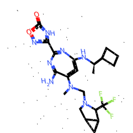 C[C@@H](NC1=C=C(N(C)CN2CC3CC3C2C(F)(F)F)C(N)=NC(c2noc(=O)[nH]2)=N1)C1CCC1